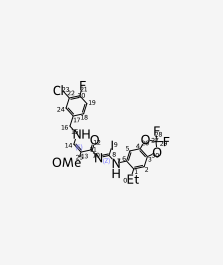 CCc1cc2c(cc1N/C(I)=N/C(=O)/C(=C\NCc1ccc(F)c(Cl)c1)OC)OC(F)(F)O2